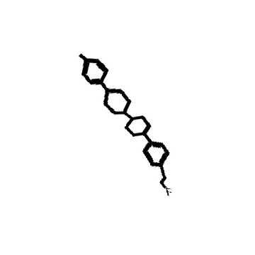 Cc1ccc(C2CCC(C3CCC(c4ccc(CCF)cc4)CC3)CC2)cc1